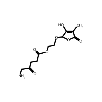 CC1=C(O)C(OCCOC(=O)CCC(=O)CN)OC1=O